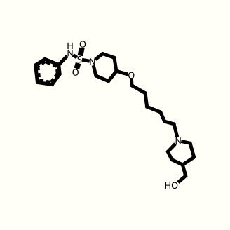 O=S(=O)(Nc1ccccc1)N1CCC(OCCCCCCN2CCC(CO)CC2)CC1